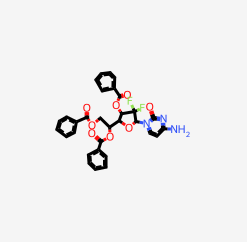 Nc1ccn(C2OC(C(COC(=O)c3ccccc3)OC(=O)c3ccccc3)C(OC(=O)c3ccccc3)C2(F)F)c(=O)n1